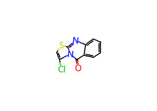 O=c1c2ccccc2nc2scc(Cl)n12